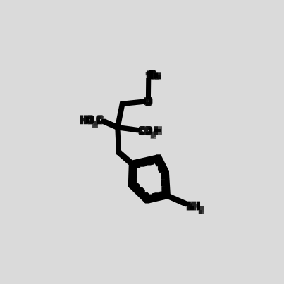 CC(C)(C)OCC(Cc1ccc(N)cc1)(C(=O)O)C(=O)O